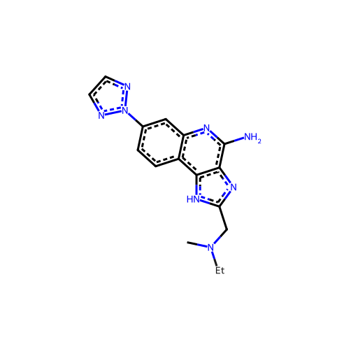 CCN(C)Cc1nc2c(N)nc3cc(-n4nccn4)ccc3c2[nH]1